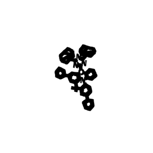 CC1(C)c2cc(-c3ccccc3)ccc2N(c2ccccc2Oc2nc(C34CC5CC(CC(C5)C3)C4)nc(C34CC5CC(CC(C5)C3)C4)n2)c2ccc(-c3ccccc3)cc21